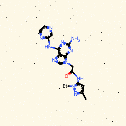 CCn1nc(C)cc1NC(=O)Cn1cnc2c(Nc3cnccn3)nc(N)nc21